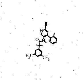 C#Cc1cc(-c2ccccc2C)c(N(C)C(=O)C(C)(C)c2cc(C(F)(F)F)cc(C(F)(F)F)c2)cn1